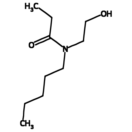 CCCCCN(CCO)C(=O)CC